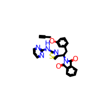 C#CCOc1cccc(CC(c2csc(Nc3ncccn3)n2)N2C(=O)c3ccccc3C2=O)c1